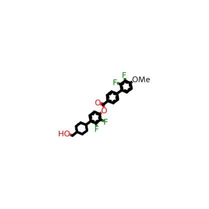 COc1ccc(-c2ccc(C(=O)Oc3ccc(C4CCC(CO)CC4)c(F)c3F)cc2)c(F)c1F